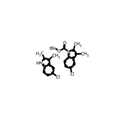 Cc1[nH]c2ccc(Cl)cc2c1C.Cc1c(C)n(C(=O)OC(C)(C)C)c2ccc(Cl)cc12